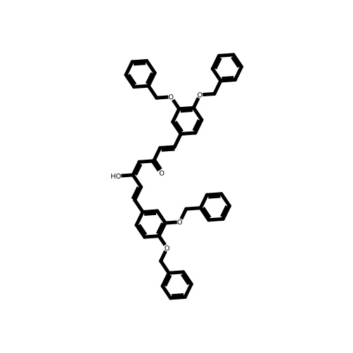 O=C(/C=C/c1ccc(OCc2ccccc2)c(OCc2ccccc2)c1)/C=C(O)\C=C\c1ccc(OCc2ccccc2)c(OCc2ccccc2)c1